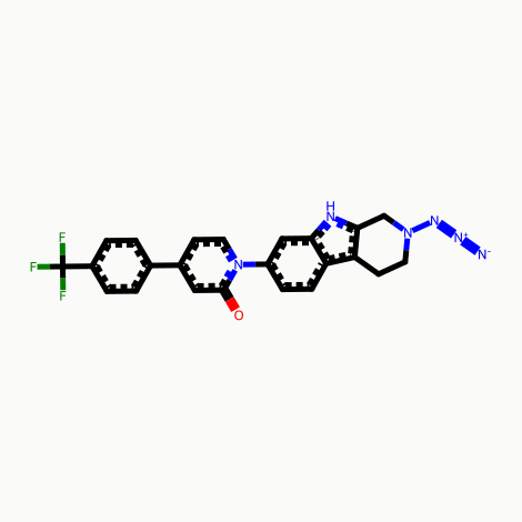 [N-]=[N+]=NN1CCc2c([nH]c3cc(-n4ccc(-c5ccc(C(F)(F)F)cc5)cc4=O)ccc23)C1